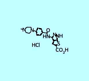 CN1CCN(c2ccc(C(=O)Nc3n[nH]c4sc(C(=O)O)cc34)cc2)CC1.Cl